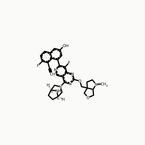 C#Cc1c(F)ccc2cc(O)cc(-c3ncc4c(N5C[C@H]6CC[C@@H](C5)N6)nc(OCC56CCN(C)C5COC6)nc4c3F)c12